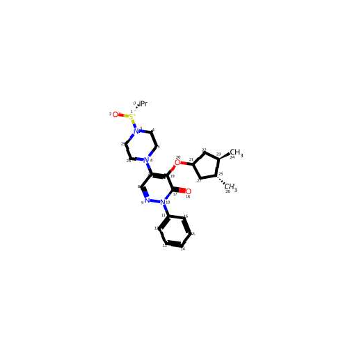 CC(C)[S@@+]([O-])N1CCN(c2cnn(-c3ccccc3)c(=O)c2OC2C[C@@H](C)[C@H](C)C2)CC1